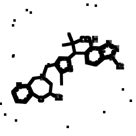 CC[C@@H]1CN(Cc2cc(C(c3ccc4c(nnn4CC)c3C)C(C)(C)C(=O)O)sc2C)Cc2ncccc2O1